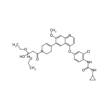 CCO[PH](O)(CC(=O)N1CC=C(c2cc3c(Oc4ccc(NC(=O)NC5CC5)c(Cl)c4)ccnc3cc2OC)CC1)OCC